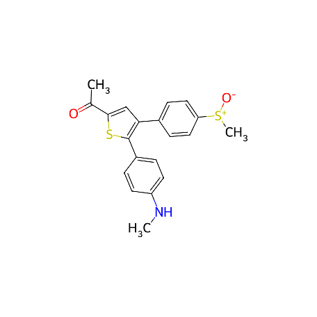 CNc1ccc(-c2sc(C(C)=O)cc2-c2ccc([S+](C)[O-])cc2)cc1